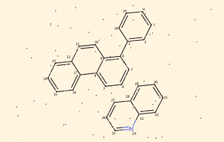 c1ccc(-c2cccc3c2ccc2ccccc23)cc1.c1ccc2ncccc2c1